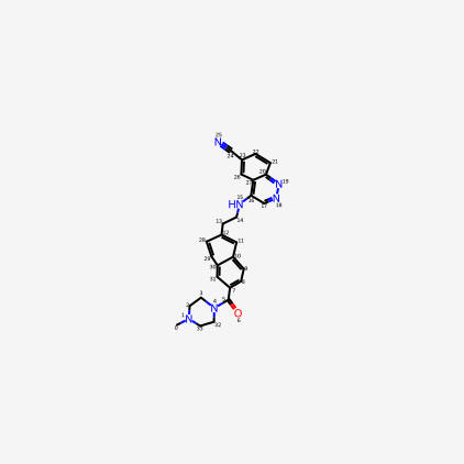 CN1CCN(C(=O)c2ccc3cc(CCNc4cnnc5ccc(C#N)cc45)ccc3c2)CC1